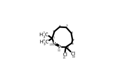 CC1(C)CCCCCCC(Cl)(Cl)/P=N\1